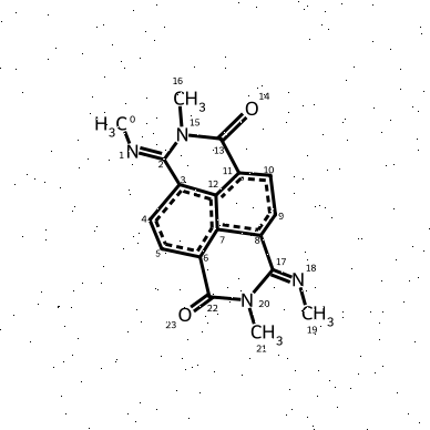 C/N=C1/c2ccc3c4c(ccc(c24)C(=O)N1C)/C(=N/C)N(C)C3=O